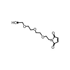 C#CCOCCOCCOCCN1C(=O)C=CC1=O